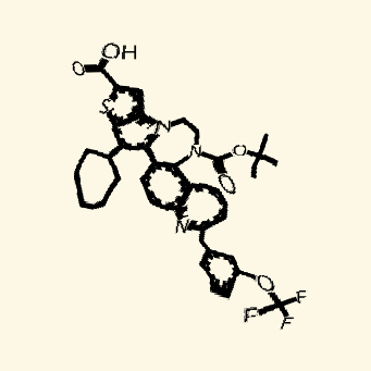 CC(C)(C)OC(=O)N1CCn2c(c(C3CCCCC3)c3sc(C(=O)O)cc32)-c2ccc3nc(-c4cccc(OC(F)(F)F)c4)ccc3c21